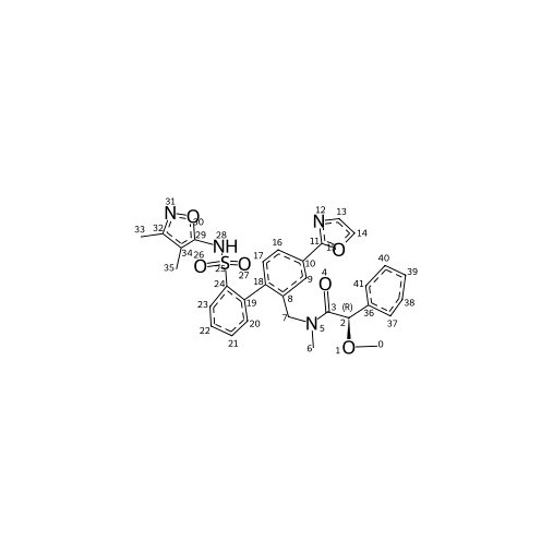 CO[C@@H](C(=O)N(C)Cc1cc(-c2ncco2)ccc1-c1ccccc1S(=O)(=O)Nc1onc(C)c1C)c1ccccc1